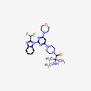 CNC(C)(C)C(=O)N1CCN(c2cc(N3CCOCC3)nc(-n3c(C(F)F)nc4ccccc43)n2)CC1